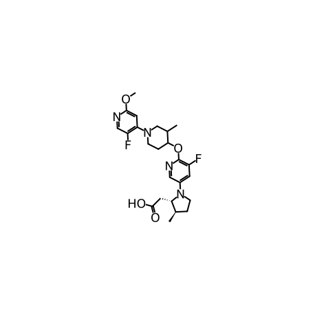 COc1cc(N2CCC(Oc3ncc(N4CC[C@@H](C)[C@@H]4CC(=O)O)cc3F)C(C)C2)c(F)cn1